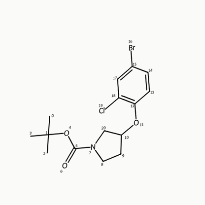 CC(C)(C)OC(=O)N1CCC(Oc2ccc(Br)cc2Cl)C1